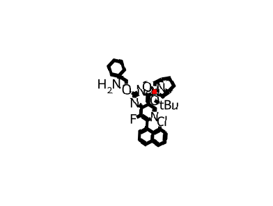 CC(C)(C)OC(=O)N1C2CCC1CN(c1nc(OCC3(N)CCCCC3)nc3c(F)c(-c4cccc5cccc(Cl)c45)ncc13)C2